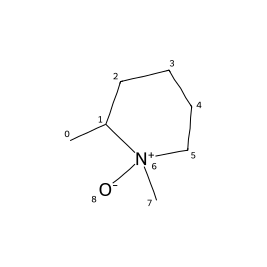 CC1CCCC[N+]1(C)[O-]